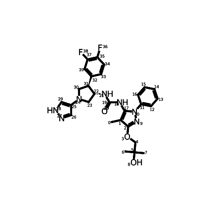 Cc1c(OCC(C)(C)O)nn(-c2ccccc2)c1NC(=O)N[C@@H]1CN(c2cn[nH]c2)C[C@H]1c1ccc(F)c(F)c1